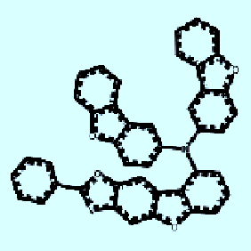 c1ccc(-c2nc3cc4oc5cccc(N(c6ccc7oc8ccccc8c7c6)c6ccc7oc8ccccc8c7c6)c5c4cc3o2)cc1